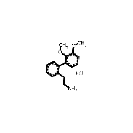 COc1cccc(-c2ccccc2CCN)c1OC.Cl